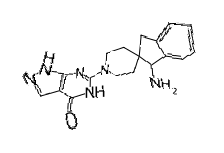 NC1c2ccccc2CC12CCN(c1nc3[nH]ncc3c(=O)[nH]1)CC2